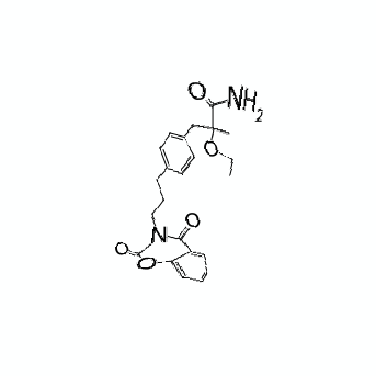 CCOC(C)(Cc1ccc(CCCn2c(=O)oc3ccccc3c2=O)cc1)C(N)=O